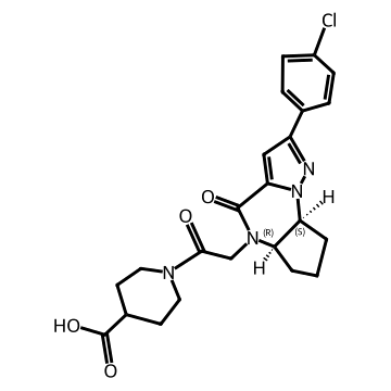 O=C(O)C1CCN(C(=O)CN2C(=O)c3cc(-c4ccc(Cl)cc4)nn3[C@H]3CCC[C@H]32)CC1